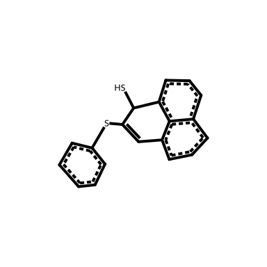 SC1C(Sc2ccccc2)=Cc2cccc3cccc1c23